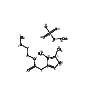 CCC(C)OCCOC(=O)Cc1c[nH]c(C)[n+]1C.CCCCCCCCOS(=O)(=O)[O-]